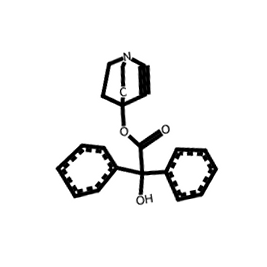 O=C(OC12C#CN(CC1)CC2)C(O)(c1ccccc1)c1ccccc1